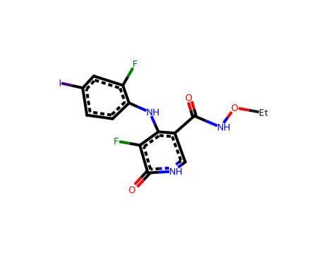 CCONC(=O)c1c[nH]c(=O)c(F)c1Nc1ccc(I)cc1F